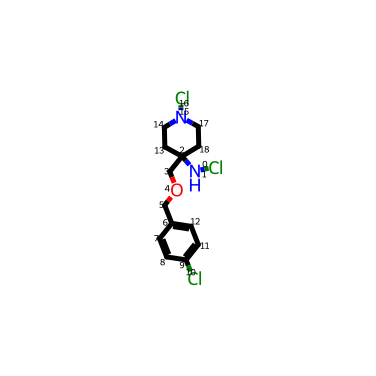 ClNC1(COCc2ccc(Cl)cc2)CCN(Cl)CC1